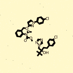 CC(C)(C)C(O)(CCc1ccc(Cl)cc1)Cn1cncn1.COC(=O)N(OC)c1ccccc1COc1ccn(-c2ccc(Cl)cc2)n1